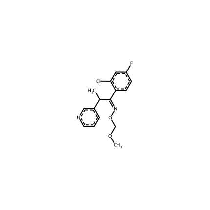 COCON=C(c1ccc(F)cc1Cl)C(C)c1cccnc1